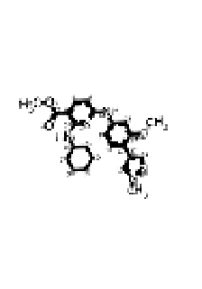 COC(=O)c1ccc(Nc2ccc(-c3cnn(C)c3)c(OC)c2)nc1NC1CCCCC1